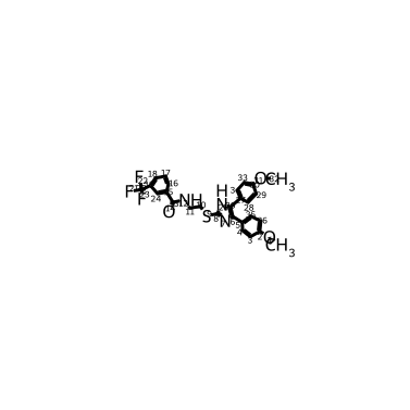 COc1ccc(-c2nc(SCCNC(=O)c3cccc(C(F)(F)F)c3)[nH]c2-c2ccc(OC)cc2)cc1